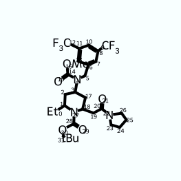 CCC1CC(N(Cc2cc(C(F)(F)F)cc(C(F)(F)F)c2)C(=O)OC)CC(CC(=O)N2CCCC2)N1C(=O)OC(C)(C)C